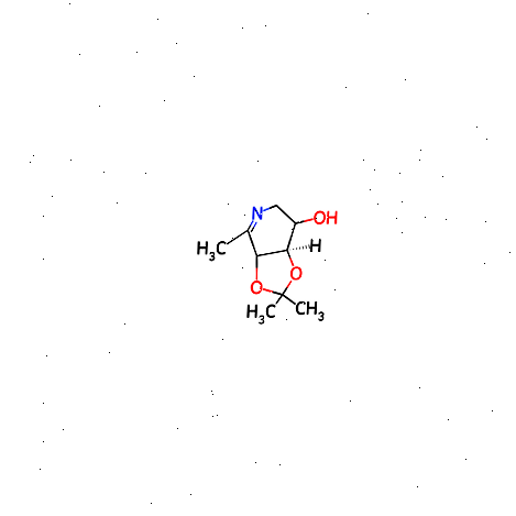 CC1=NCC(O)[C@H]2OC(C)(C)OC12